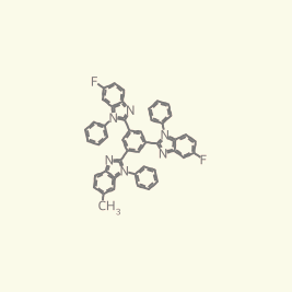 Cc1ccc2nc(-c3cc(-c4nc5cc(F)ccc5n4-c4ccccc4)cc(-c4nc5ccc(F)cc5n4-c4ccccc4)c3)n(-c3ccccc3)c2c1